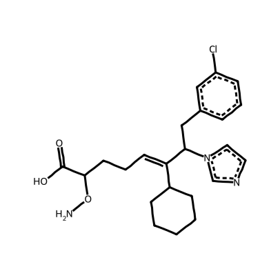 NOC(CC/C=C(\C1CCCCC1)C(Cc1cccc(Cl)c1)n1ccnc1)C(=O)O